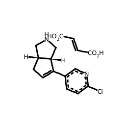 Clc1ccc(C2=CC[C@@H]3CNC[C@H]23)cn1.O=C(O)/C=C/C(=O)O